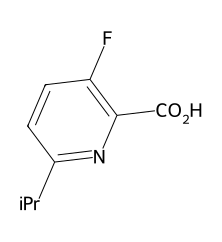 CC(C)c1ccc(F)c(C(=O)O)n1